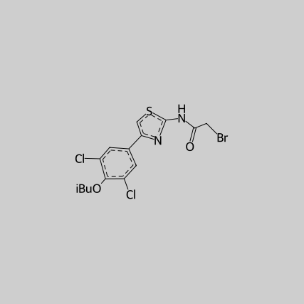 CC(C)COc1c(Cl)cc(-c2csc(NC(=O)CBr)n2)cc1Cl